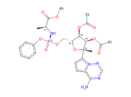 CCC(=O)O[C@H]1[C@@H](OC(=O)CC)[C@](C)(c2ccc3c(N)ncnn23)O[C@@H]1CO[P@@](=O)(N[C@@H](C)C(=O)OC(C)C)Oc1ccccc1